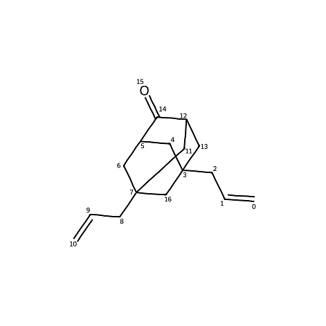 C=CCC12CC3CC(CC=C)(CC(C1)C3=O)C2